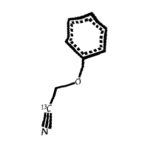 N#[13C]COc1ccccc1